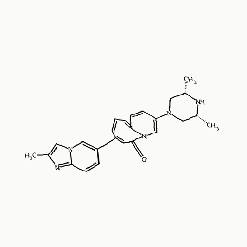 Cc1cn2cc(C3=C\C(=O)N4C=C(N5C[C@@H](C)N[C@@H](C)C5)C=C\C4=C/C=C/3)ccc2n1